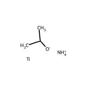 CC(C)[O-].[NH4+].[Ti]